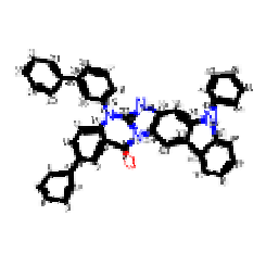 O=c1c2cc(-c3ccccc3)ccc2n(-c2cccc(-c3ccccc3)c2)c2nc3cc4c(cc3n12)c1ccccc1n4-c1ccccc1